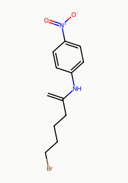 C=C(CCCCBr)Nc1ccc([N+](=O)[O-])cc1